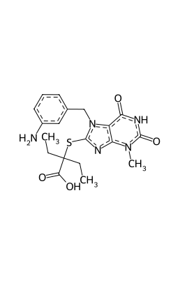 CCC(CC)(Sc1nc2c(c(=O)[nH]c(=O)n2C)n1Cc1cccc(N)c1)C(=O)O